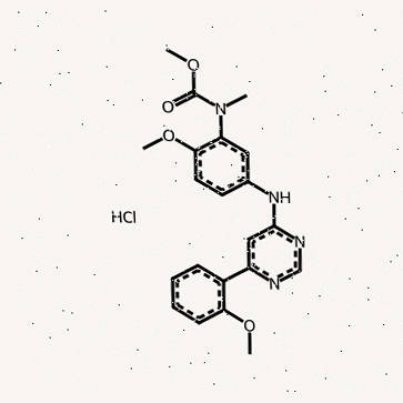 COC(=O)N(C)c1cc(Nc2cc(-c3ccccc3OC)ncn2)ccc1OC.Cl